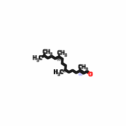 C/C(=C\C=O)CCC[C@H](C)CCC[C@H](C)CCCC(C)C